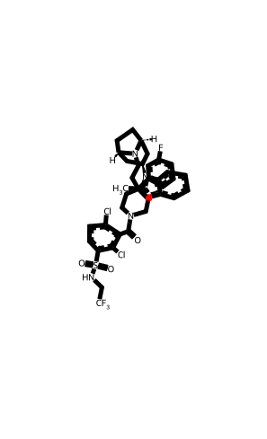 Cc1nc2ccccc2n1[C@H]1C[C@H]2CC[C@@H](C1)N2CCC1(c2cccc(F)c2)CCN(C(=O)c2c(Cl)ccc(S(=O)(=O)NCC(F)(F)F)c2Cl)CC1